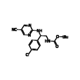 CC(C)(C)OC(=O)NCC(Nc1ncc(C#N)cn1)c1ccc(Cl)cc1